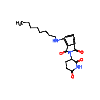 CCCCCCCCNc1cccc2c1C(=O)N(C1CCC(=O)NC1=O)C2=O